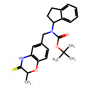 CC1Oc2ccc(CN(C(=O)OC(C)(C)C)C3CCc4ccccc43)cc2NC1=S